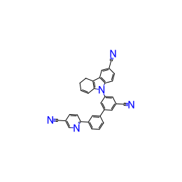 N#Cc1ccc(-c2cccc(-c3cc(C#N)cc(-n4c5c(c6cc(C#N)ccc64)CCC=C5)c3)c2)nc1